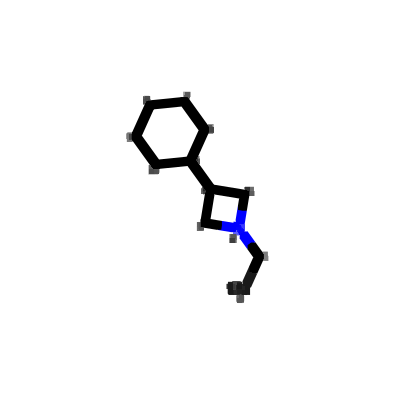 CC(C)(C)CN1CC(C2CCCCC2)C1